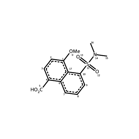 COc1ccc(C(=O)O)c2cccc(S(=O)(=O)N(C)C)c12